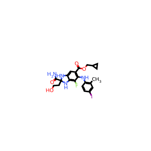 Cc1cc(I)ccc1Nc1c(C(=O)OCC2CC2)cc2c(c1F)NC(CCO)(C(N)=O)N2